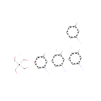 Nc1cccc(C(=O)O)c1.Nc1cccc(C(=O)O)c1.Nc1cccc(C(=O)O)c1.Nc1cccc(C(=O)O)c1.OCC(CO)(CO)CO